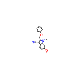 CCn1c(COc2ccccc2)c(C#N)c2ccc(OC)cc21